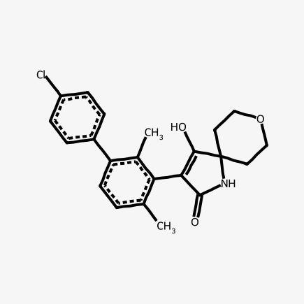 Cc1ccc(-c2ccc(Cl)cc2)c(C)c1C1=C(O)C2(CCOCC2)NC1=O